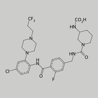 O=C(O)NC1CCCN(C(=O)NCc2ccc(C(=O)Nc3ccc(Cl)cc3N3CCN(CCC(F)(F)F)CC3)c(F)c2)C1